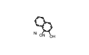 O=Nc1c(O)ccc2ccccc12.[Ni]